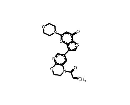 C=CC(=O)N1CCOc2ncc(-c3csc4c(=O)cc(N5CCOCC5)oc34)cc21